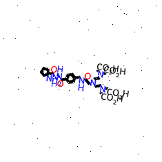 NC1(C(=O)NNC(=O)c2ccc(CNC(=O)CN(CCN(CC(=O)O)CC(=O)O)CCN(CC(=O)O)CC(=O)O)cc2)CCCC1